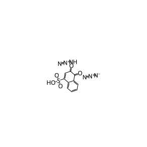 O=C1C=C(S(=O)(=O)O)c2ccccc2C1=O.[N-]=[N+]=N.[N-]=[N+]=[N-]